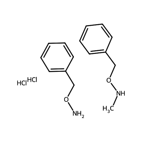 CNOCc1ccccc1.Cl.Cl.NOCc1ccccc1